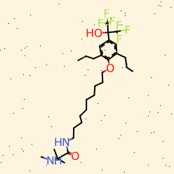 CCCc1cc(C(O)(C(F)(F)F)C(F)(F)F)cc(CCC)c1OCCCCCCCCCCNC(=O)C(C)(C)NC